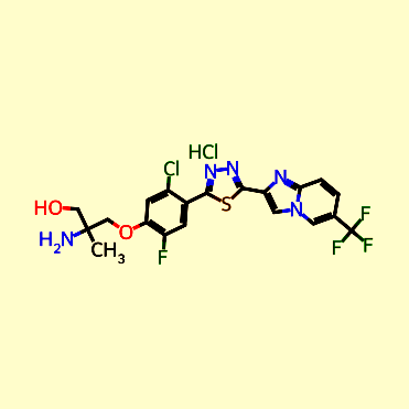 CC(N)(CO)COc1cc(Cl)c(-c2nnc(-c3cn4cc(C(F)(F)F)ccc4n3)s2)cc1F.Cl